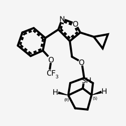 FC(F)(F)Oc1ccccc1-c1noc(C2CC2)c1COC1C[C@H]2CC[C@@H](C1)C2S